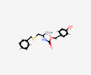 O=C(NC(CSCc1ccccc1)C(=O)O)OCc1ccc(O)cc1